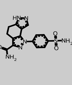 NC(=O)c1nn(-c2ccc(S(N)(=O)=O)cc2)c2c1CCc1[nH]ncc1-2